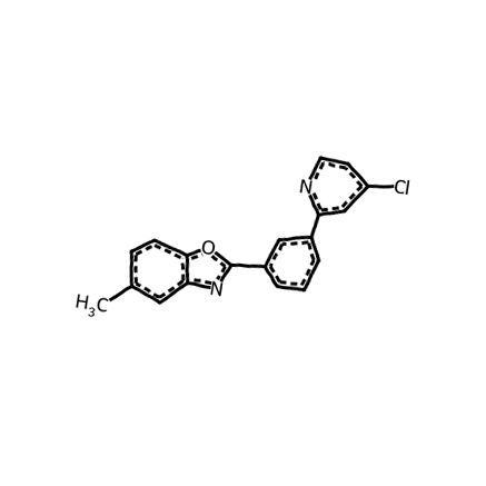 Cc1ccc2oc(-c3cccc(-c4cc(Cl)ccn4)c3)nc2c1